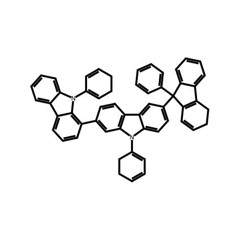 C1=CCCC(n2c3ccc(C4(c5ccccc5)C5=C(CCC=C5)c5ccccc54)cc3c3ccc(-c4cccc5c6ccccc6n(C6=CCCC=C6)c45)cc32)=C1